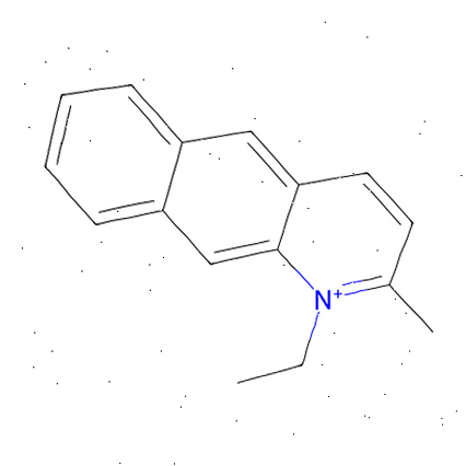 CC[n+]1c(C)ccc2cc3ccccc3cc21